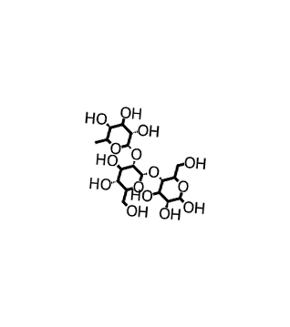 CC1O[C@@H](O[C@H]2C(O)[C@@H](O)C(CO)O[C@H]2O[C@@H]2C(CO)OC(O)[C@@H](O)C2O)[C@@H](O)C(O)[C@@H]1O